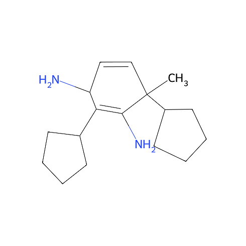 CC1(C2CCCC2)C=CC(N)C(C2CCCC2)=C1N